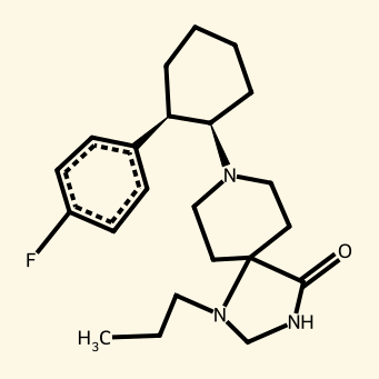 CCCN1CNC(=O)C12CCN([C@@H]1CCCC[C@@H]1c1ccc(F)cc1)CC2